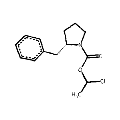 CC(Cl)OC(=O)N1CCC[C@H]1Cc1ccccc1